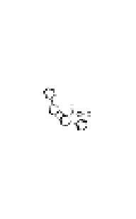 O=CC(=O)c1c(-c2ccccc2)ccc2c1-c1cc(-c3ccccc3)ccc1-2